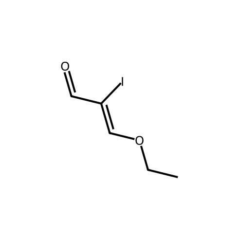 CCOC=C(I)C=O